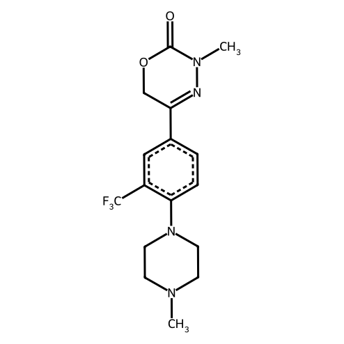 CN1CCN(c2ccc(C3=NN(C)C(=O)OC3)cc2C(F)(F)F)CC1